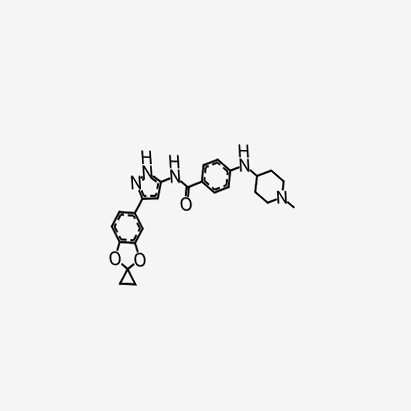 CN1CCC(Nc2ccc(C(=O)Nc3cc(-c4ccc5c(c4)OC4(CC4)O5)n[nH]3)cc2)CC1